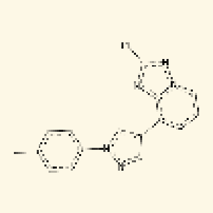 Cc1ccc(-n2cc(-c3cccn4nc(Cl)nc34)cn2)cc1